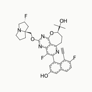 C#Cc1c(F)ccc2cc(O)cc(-c3nc4c5c(nc(OC[C@@]67CCCN6C[C@H](F)C7)nc5c3F)O[C@@H](C(C)(C)O)CC4)c12